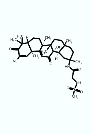 CC1(C)C(=O)C(C#N)=C[C@]2(C)C3=CC(=O)[C@]4(O)[C@@H]5C[C@@](C)(NC(=O)CNS(C)(=O)=O)CC[C@@]5(C)CC[C@@]4(C)[C@]3(C)CC[C@@H]12